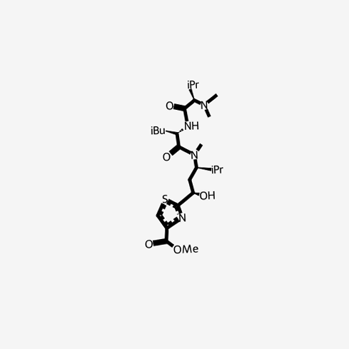 CC[C@H](C)[C@H](NC(=O)[C@@H](C(C)C)N(C)C)C(=O)N(C)[C@H](C[C@@H](O)c1nc(C(=O)OC)cs1)C(C)C